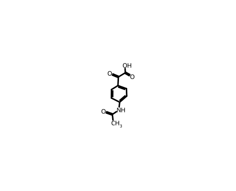 CC(=O)Nc1ccc(C(=O)C(=O)O)cc1